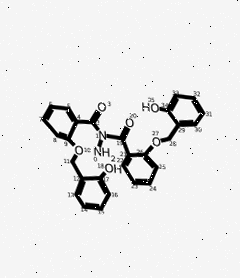 NN(C(=O)c1ccccc1OCc1ccccc1O)C(=O)c1ccccc1OCc1ccccc1O